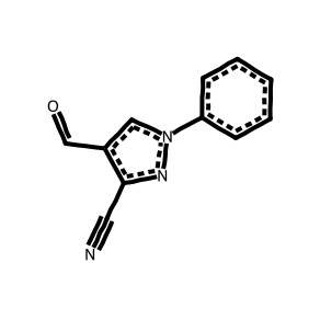 N#Cc1nn(-c2ccccc2)cc1C=O